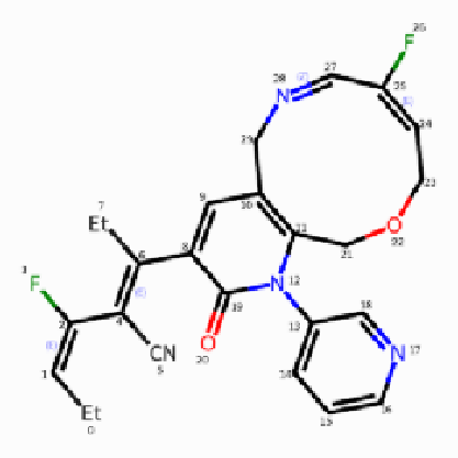 CC/C=C(F)\C(C#N)=C(/CC)c1cc2c(n(-c3cccnc3)c1=O)COC/C=C(F)\C=N/C2